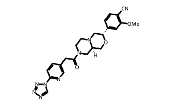 COc1cc([C@H]2CN3CCN(C(=O)Cc4ccc(-n5cnnn5)nc4)C[C@@H]3CO2)ccc1C#N